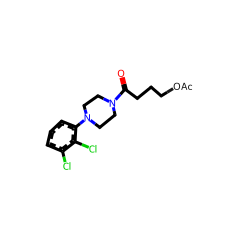 CC(=O)OCCCC(=O)N1CCN(c2cccc(Cl)c2Cl)CC1